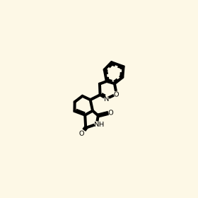 O=C1NC(=O)C2C1=CCCC2C1=NOc2ccccc2C1